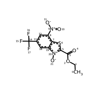 CCOC(=O)c1sc2c([N+](=O)[O-])cc(C(F)(F)F)cc2[n+]1[O-]